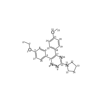 CCOc1ccc(-c2nnc(N3CCCC3)nc2-c2ccc(OC)cc2)cc1